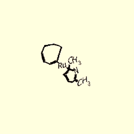 CC1=N[C](C)([Ru][C]2=CC=CCCC2)C=C1